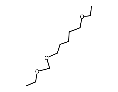 CCOCCCCCOCOCC